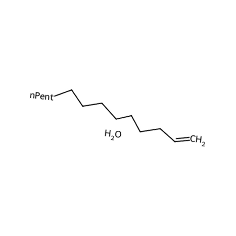 C=CCCCCCCCCCCCC.O